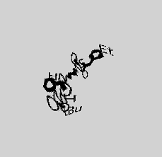 CCc1ccc(/C=C2\SC(=O)N(CCCCNC(=O)c3ccccc3NC(=O)OC(C)(C)C)C2=O)cc1